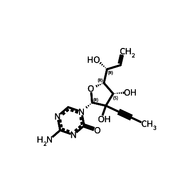 C=C[C@@H](O)[C@H]1O[C@@H](n2cnc(N)nc2=O)C(O)(C#CC)[C@H]1O